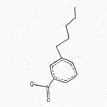 [CH2]CCCCc1cccc([N+](=O)[O-])c1